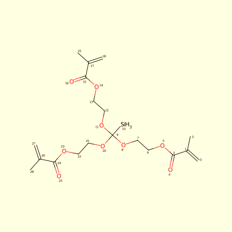 C=C(C)C(=O)OCCOC([SiH3])(OCCOC(=O)C(=C)C)OCCOC(=O)C(=C)C